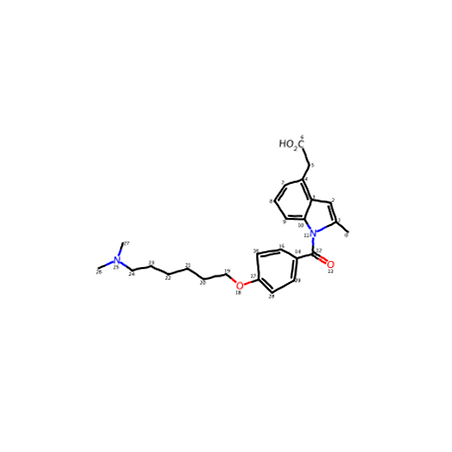 Cc1cc2c(CC(=O)O)cccc2n1C(=O)c1ccc(OCCCCCCN(C)C)cc1